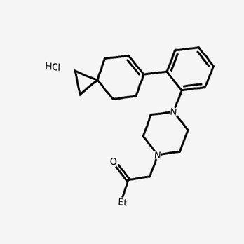 CCC(=O)CN1CCN(c2ccccc2C2=CCC3(CC2)CC3)CC1.Cl